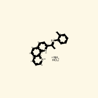 C/[C](=[Fe]\[c]1ccccc1C)c1ccc2ccc3cccnc3c2n1.Cl.N